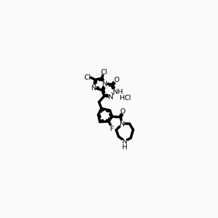 Cl.O=C(c1cc(Cc2n[nH]c(=O)n3c(Cl)c(Cl)nc23)ccc1F)N1CCCNCC1